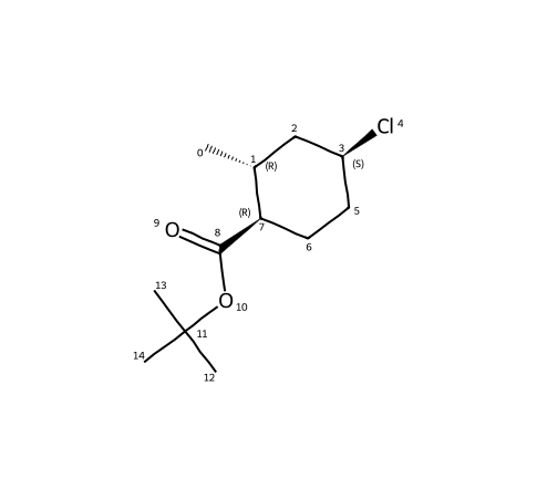 C[C@@H]1C[C@@H](Cl)CC[C@H]1C(=O)OC(C)(C)C